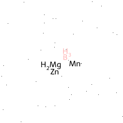 B.[MgH2].[Mn].[Zn]